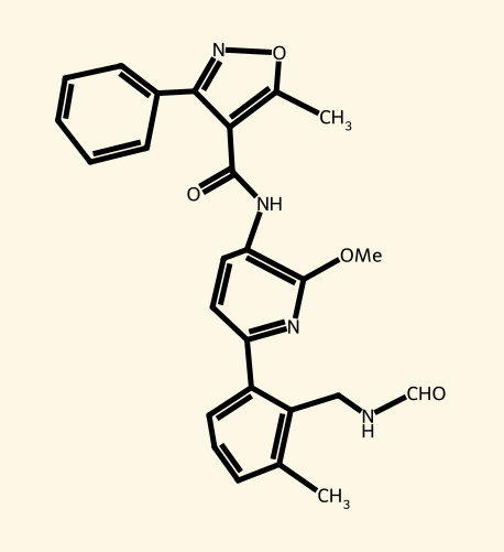 COc1nc(-c2cccc(C)c2CNC=O)ccc1NC(=O)c1c(-c2ccccc2)noc1C